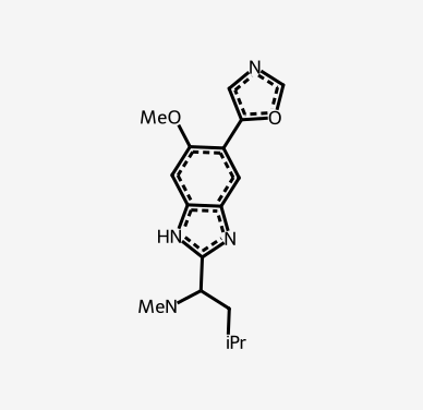 CNC(CC(C)C)c1nc2cc(-c3cnco3)c(OC)cc2[nH]1